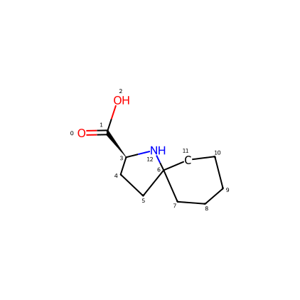 O=C(O)[C@@H]1CCC2(CCCCC2)N1